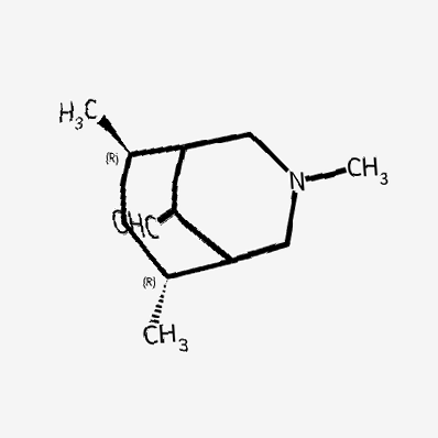 C[C@@H]1C[C@@H](C)C2CN(C)CC1C2C=O